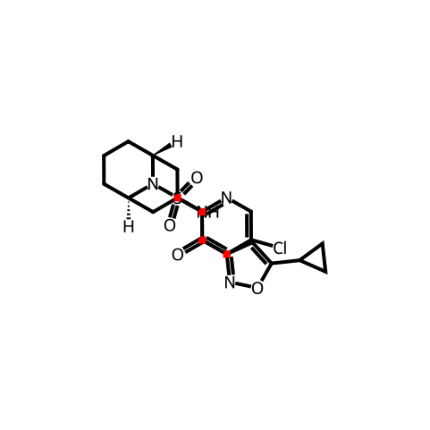 O=C(NC1C[C@H]2CCC[C@H](C1)N2S(=O)(=O)c1ccc(Cl)cn1)c1cc(C2CC2)on1